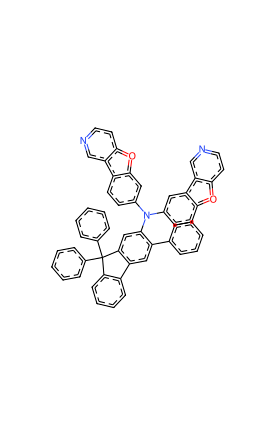 c1ccc(-c2cc3c(cc2N(c2ccc4c(c2)oc2ccncc24)c2ccc4oc5ccncc5c4c2)C(c2ccccc2)(c2ccccc2)c2ccccc2-3)cc1